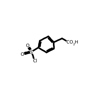 O=C(O)Cc1ccc(S(=O)(=O)Cl)cc1